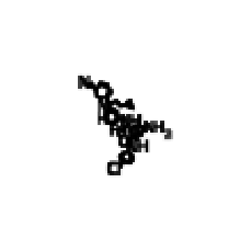 N#CC1=CC2NC(CCC3CC3)(c3ccc(F)c(NC(=O)[C@H]4C[C@H](N)CN4C(=O)Nc4ccc(Cl)cc4)c3)C2=CC=C1